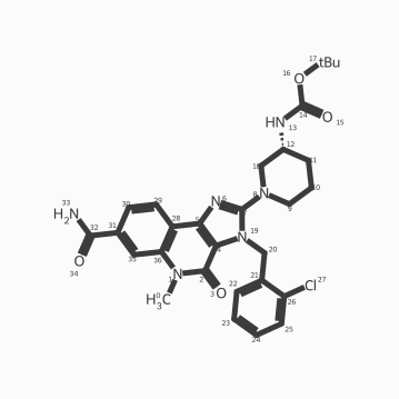 Cn1c(=O)c2c(nc(N3CCC[C@@H](NC(=O)OC(C)(C)C)C3)n2Cc2ccccc2Cl)c2ccc(C(N)=O)cc21